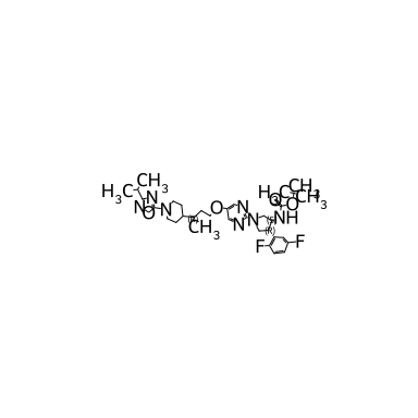 CC(C)c1noc(N2CCC([C@H](C)CCOc3cnc(N4C[C@@H](NC(=O)OC(C)(C)C)[C@H](c5cc(F)ccc5F)C4)nc3)CC2)n1